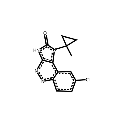 CC1(n2c(=O)[nH]c3nnc4ccc(Cl)cc4c32)CC1